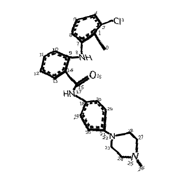 Cc1c(Cl)cccc1Nc1ccccc1C(=O)Nc1ccc(N2CCN(C)CC2)cc1